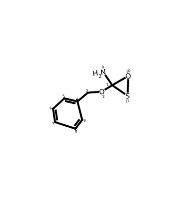 NC1(OCc2ccccc2)OS1